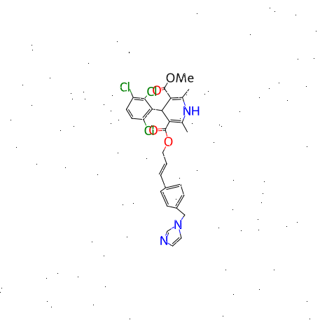 COC(=O)C1=C(C)NC(C)=C(C(=O)OCC=Cc2ccc(Cn3ccnc3)cc2)C1c1c(Cl)ccc(Cl)c1Cl